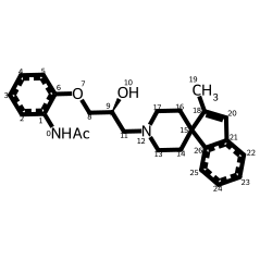 CC(=O)Nc1ccccc1OC[C@@H](O)CN1CCC2(CC1)C(C)=Cc1ccccc12